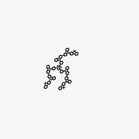 CC1(C)c2ccccc2-c2ccc(-n3c4ccccc4c4cc(-c5ccc6c7ccccc7n(-c7ccc(-c8nc(-c9cccc(-n%10c%11ccccc%11c%11ccc(-c%12ccc%13c(c%12)c%12ccccc%12n%13-c%12ccc%13c(c%12)C(C)(C)c%12ccccc%12-%13)cc%11%10)c9)nc(-c9cccc(-n%10c%11ccccc%11c%11ccc(-c%12ccc%13c(c%12)c%12ccccc%12n%13-c%12ccc%13c(c%12)C(C)(C)c%12ccccc%12-%13)cc%11%10)c9)n8)cc7)c6c5)ccc43)cc21